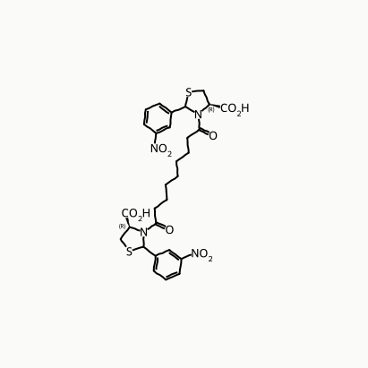 O=C(O)[C@@H]1CSC(c2cccc([N+](=O)[O-])c2)N1C(=O)CCCCCCCC(=O)N1C(c2cccc([N+](=O)[O-])c2)SC[C@H]1C(=O)O